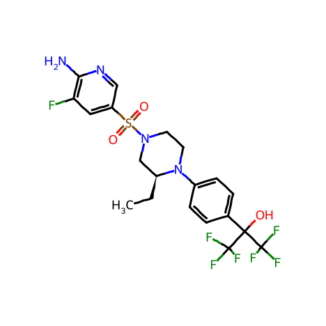 CC[C@H]1CN(S(=O)(=O)c2cnc(N)c(F)c2)CCN1c1ccc(C(O)(C(F)(F)F)C(F)(F)F)cc1